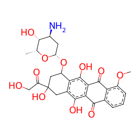 COc1cccc2c1C(=O)c1c(O)c3c(c(O)c1C2=O)CC(O)(C(=O)CO)CC3O[C@H]1C[C@H](N)[C@@H](O)[C@@H](C)O1